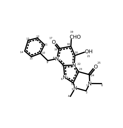 CN1CN(C)c2nc3n(Cc4ccccc4)c(=O)c(C=O)c(O)n3c2C1=O